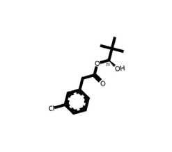 CC(C)(C)[C@@H](O)OC(=O)Cc1cccc(Cl)c1